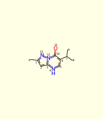 Cc1cc2[nH]cc(C(C)C)c(=O)n2n1